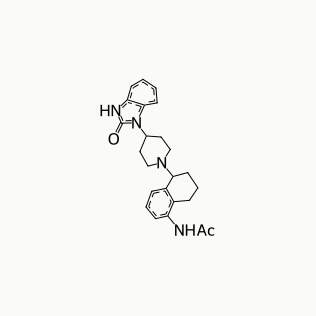 CC(=O)Nc1cccc2c1CCCC2N1CCC(n2c(=O)[nH]c3ccccc32)CC1